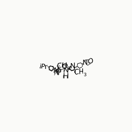 Cc1cc(NC(=O)c2cnn(-c3ccc(C(C)C)cc3)c2C)cnc1C1=CCC(N2CCOCC2)CC1